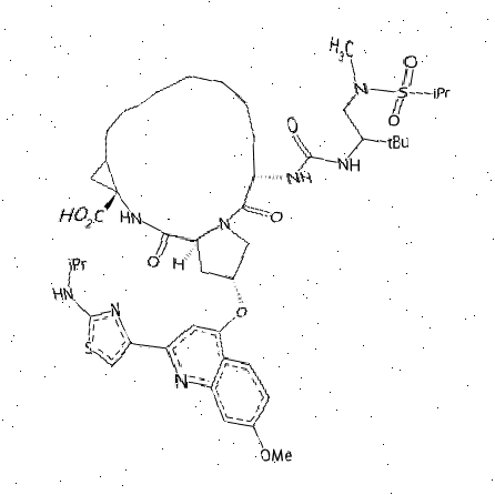 COc1ccc2c(O[C@@H]3C[C@H]4C(=O)N[C@]5(C(=O)O)CC5CCCCCCC[C@H](NC(=O)NC(CN(C)S(=O)(=O)C(C)C)C(C)(C)C)C(=O)N4C3)cc(-c3csc(NC(C)C)n3)nc2c1